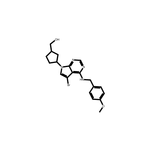 COc1ccc(CNc2ncnc3c2c(Br)cn3C2CCC(CO)C2)cc1